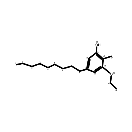 CCCCCCCCCc1cc(O)c(C)c(OCC)c1